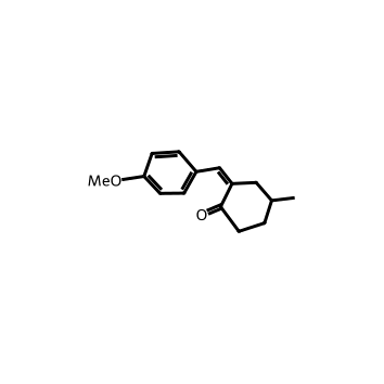 COc1ccc(/C=C2/CC(C)CCC2=O)cc1